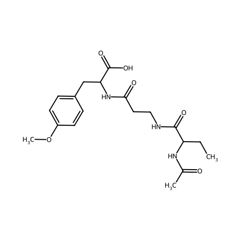 CCC(NC(C)=O)C(=O)NCCC(=O)NC(Cc1ccc(OC)cc1)C(=O)O